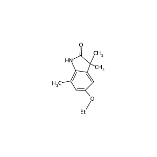 CCOc1cc(C)c2c(c1)C(C)(C)C(=O)N2